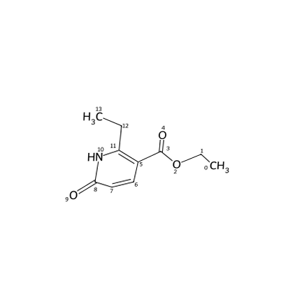 CCOC(=O)c1ccc(=O)[nH]c1CC